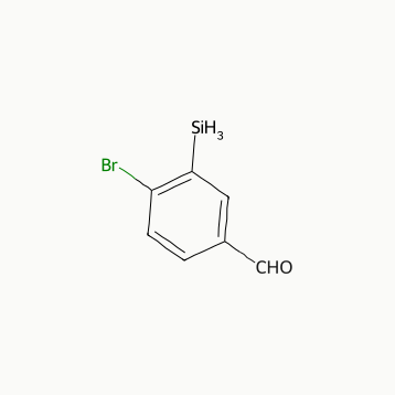 O=Cc1ccc(Br)c([SiH3])c1